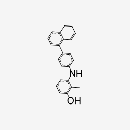 Cc1c(O)cccc1Nc1ccc(-c2cccc3c2C=CCC3)cc1